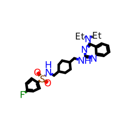 CCN(CC)c1nc(NCC2CCC(CNS(=O)(=O)c3ccc(F)cc3)CC2)nc2ccccc12